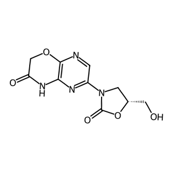 O=C1COc2ncc(N3C[C@H](CO)OC3=O)nc2N1